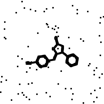 CC(C)(C)c1ccc(C=C2OC(=O)C=C2c2ccccc2)cc1